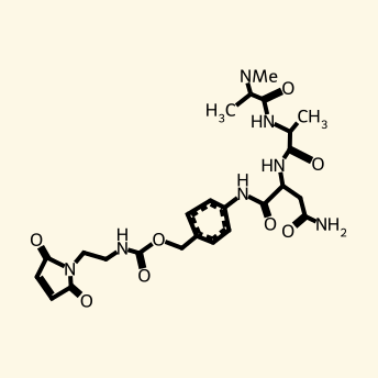 CNC(C)C(=O)NC(C)C(=O)NC(CC(N)=O)C(=O)Nc1ccc(COC(=O)NCCN2C(=O)C=CC2=O)cc1